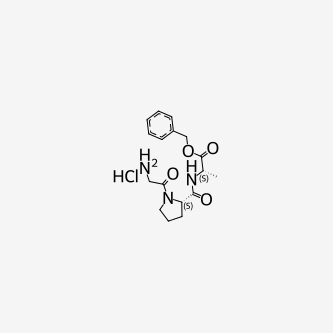 C[C@H](NC(=O)[C@@H]1CCCN1C(=O)CN)C(=O)OCc1ccccc1.Cl